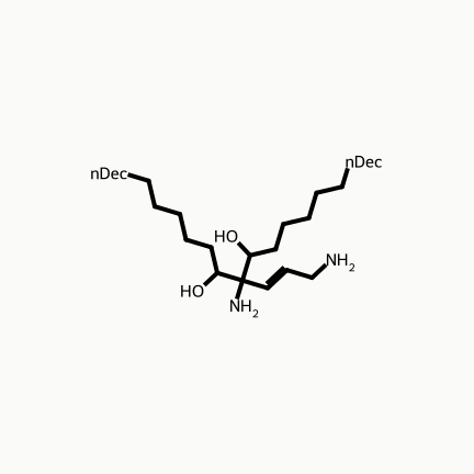 CCCCCCCCCCCCCCCC(O)C(N)(C=CCN)C(O)CCCCCCCCCCCCCCC